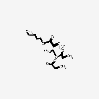 C=CC(=O)OCCCCC.C=CC(=O)OCO.C=CC(=O)[O-].[Li+]